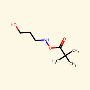 CC(C)(C)C(=O)ONCCCO